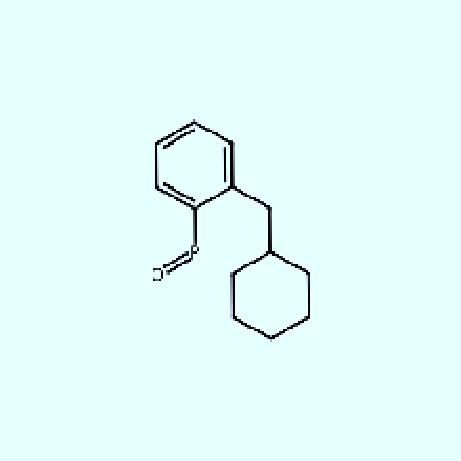 O=Pc1ccccc1CC1CCCCC1